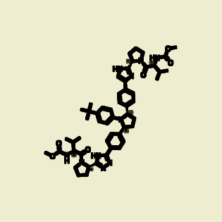 COC(=O)N[C@H](C(=O)N1CCC[C@H]1c1nc(-c2ccc([C@@H]3CC[C@@H](c4ccc(-c5nnc([C@@H]6CCCN6C(=O)[C@@H](NC(=O)OC)C(C)C)[nH]5)cc4)N3c3ccc(C(C)(C)C)cc3)cc2)c[nH]1)C(C)C